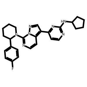 Fc1ccc(C2CCCCN2c2nccc3c(-c4ccnc(NC5CCCC5)n4)cnn23)cc1